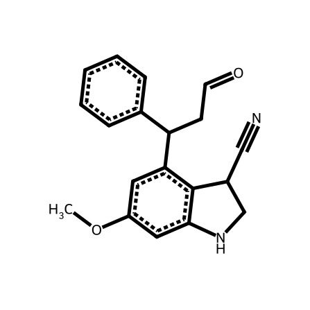 COc1cc2c(c(C(CC=O)c3ccccc3)c1)C(C#N)CN2